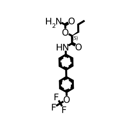 CCC[C@H](OC(N)=O)C(=O)Nc1ccc(-c2ccc(OC(F)(F)F)cc2)cc1